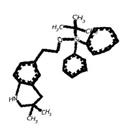 CC1(C)CNc2ccc(CCO[Si](c3ccccc3)(c3ccccc3)C(C)(C)C)cc2C1